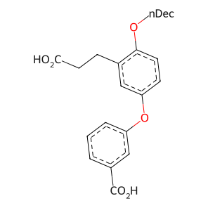 CCCCCCCCCCOc1ccc(Oc2cccc(C(=O)O)c2)cc1CCC(=O)O